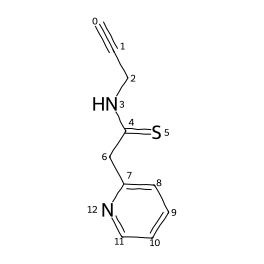 C#CCNC(=S)Cc1ccccn1